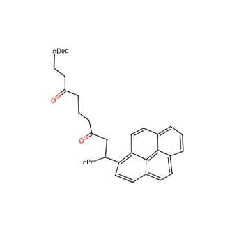 CCCCCCCCCCCCC(=O)CCCC(=O)CC(CCC)c1ccc2ccc3cccc4ccc1c2c34